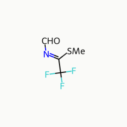 CS/C(=N\C=O)C(F)(F)F